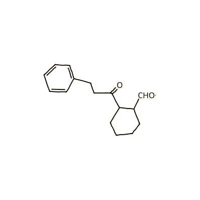 O=[C]C1CCCCC1C(=O)CCc1ccccc1